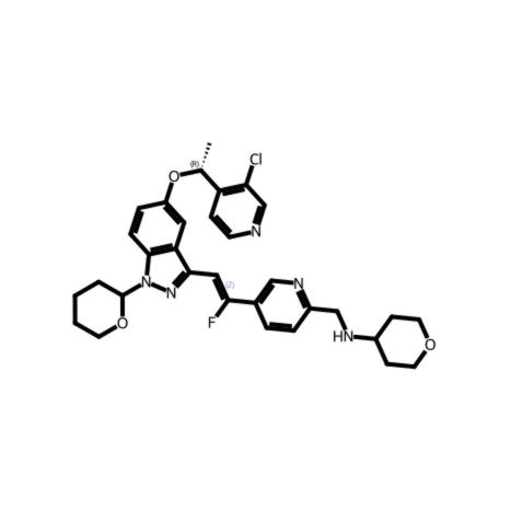 C[C@@H](Oc1ccc2c(c1)c(/C=C(\F)c1ccc(CNC3CCOCC3)nc1)nn2C1CCCCO1)c1ccncc1Cl